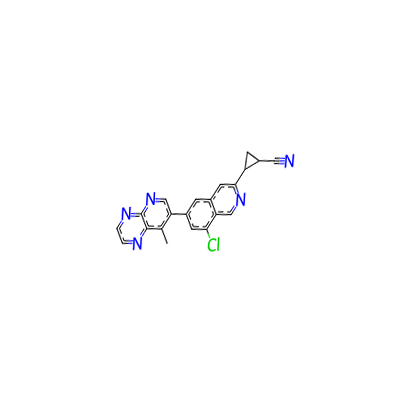 Cc1c(-c2cc(Cl)c3cnc(C4CC4C#N)cc3c2)cnc2nccnc12